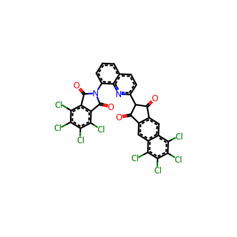 O=C1c2cc3c(Cl)c(Cl)c(Cl)c(Cl)c3cc2C(=O)C1c1ccc2cccc(N3C(=O)c4c(Cl)c(Cl)c(Cl)c(Cl)c4C3=O)c2n1